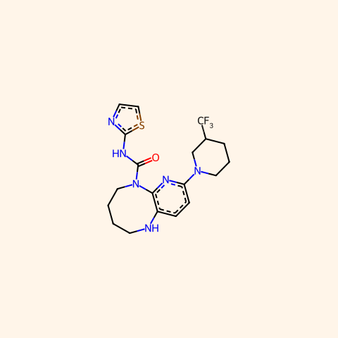 O=C(Nc1nccs1)N1CCCCNc2ccc(N3CCCC(C(F)(F)F)C3)nc21